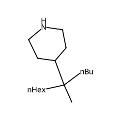 CCCCCCC(C)(CCCC)C1CCNCC1